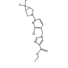 CCOC(=O)c1cn(Cc2ccc(N3CC4C(C3)C4(F)F)nc2Cl)cn1